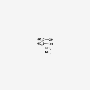 N.N.N.O=C(O)O.O=S(=O)(O)O